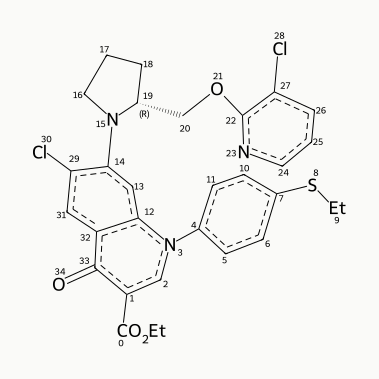 CCOC(=O)c1cn(-c2ccc(SCC)cc2)c2cc(N3CCC[C@@H]3COc3ncccc3Cl)c(Cl)cc2c1=O